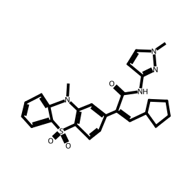 CN1c2ccccc2S(=O)(=O)c2ccc(C(=CC3CCCC3)C(=O)Nc3ccn(C)n3)cc21